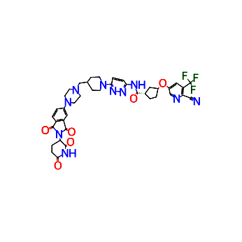 N#Cc1ncc(O[C@H]2CC[C@H](C(=O)Nc3ccc(N4CCC(CN5CCN(c6ccc7c(c6)C(=O)N(C6CCC(=O)NC6=O)C7=O)CC5)CC4)nn3)C2)cc1C(F)(F)F